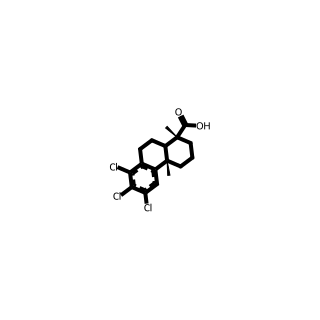 C[C@@]1(C(=O)O)CCC[C@]2(C)c3cc(Cl)c(Cl)c(Cl)c3CCC12